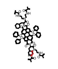 C=C(C)C(=O)NCCN(CCNC(=O)C(=C)C)C(=O)C(CC1CCCCC1)N1C(=O)c2cc(Oc3ccccc3)c3c4c(Oc5ccccc5)cc5c6c(cc(Oc7ccccc7)c(c7c(Oc8ccccc8)cc(c2c37)C1=O)c64)C(=O)N(C(CC1CCCCC1)C(=O)N(CCNC(=O)C(=C)C)CCNC(=O)C(=C)C)C5=O